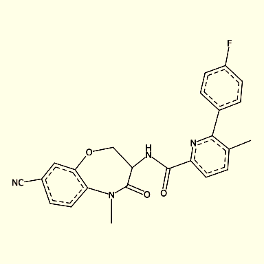 Cc1ccc(C(=O)NC2COc3cc(C#N)ccc3N(C)C2=O)nc1-c1ccc(F)cc1